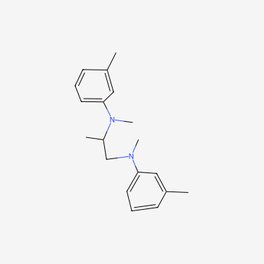 Cc1cccc(N(C)CC(C)N(C)c2cccc(C)c2)c1